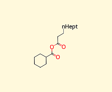 CCCCCCCCCC(=O)OC(=O)C1CCCCC1